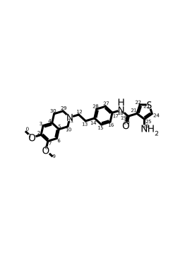 COc1cc2c(cc1OC)CN(CCc1ccc(NC(=O)c3cscc3N)cc1)CC2